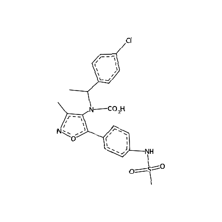 Cc1noc(-c2ccc(NS(C)(=O)=O)cc2)c1N(C(=O)O)C(C)c1ccc(Cl)cc1